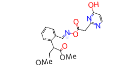 COCC(C(=O)OC)c1ccccc1/C=N/OC(=O)Cc1nccc(O)n1